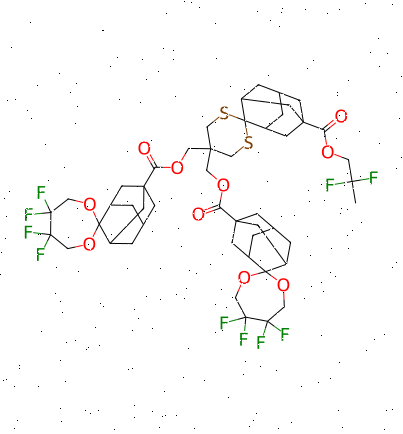 CC(F)(F)COC(=O)C12CC3CC(C1)C1(SCC(COC(=O)C45CC6CC(C4)C4(OCC(F)(F)C(F)(F)CO4)C(C6)C5)(COC(=O)C45CC6CC(C4)C4(OCC(F)(F)C(F)(F)CO4)C(C6)C5)CS1)C(C3)C2